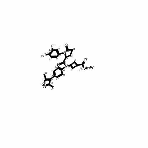 CCCNC(=O)C1CC(n2c(C3CCC(=O)N3c3ccc(F)c(F)c3)nc3cc(-c4c(C)noc4C)ccc32)C1